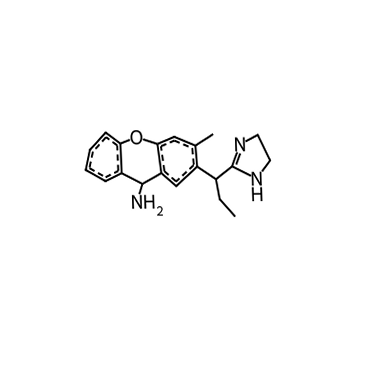 CCC(C1=NCCN1)c1cc2c(cc1C)Oc1ccccc1C2N